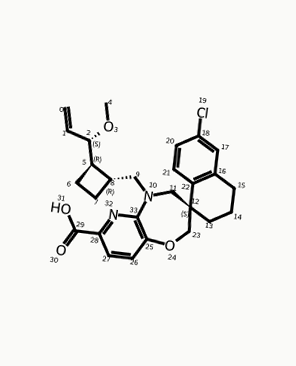 C=C[C@H](OC)[C@@H]1CC[C@H]1CN1C[C@@]2(CCCc3cc(Cl)ccc32)COc2ccc(C(=O)O)nc21